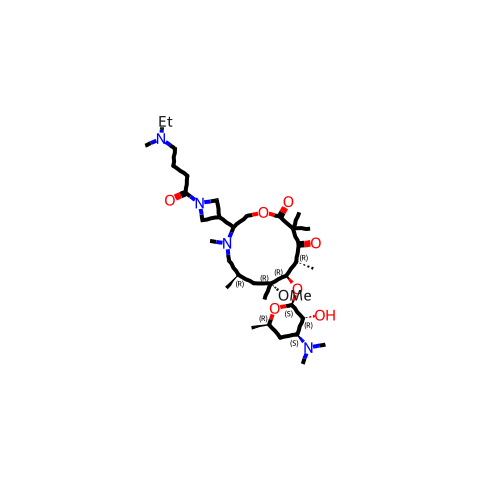 CCN(C)CCCC(=O)N1CC(C2COC(=O)C(C)(C)C(=O)[C@H](C)[C@@H](O[C@@H]3O[C@H](C)C[C@H](N(C)C)[C@H]3O)[C@](C)(OC)C[C@@H](C)CN2C)C1